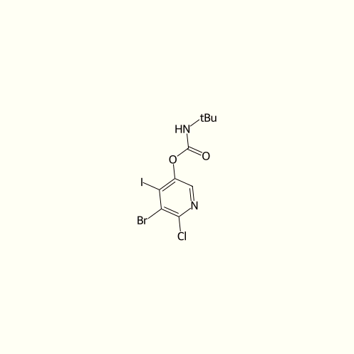 CC(C)(C)NC(=O)Oc1cnc(Cl)c(Br)c1I